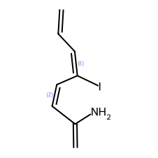 C=C/C=C(I)\C=C/C(=C)N